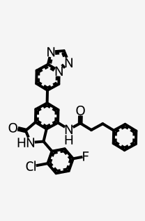 O=C(CCc1ccccc1)Nc1cc(-c2ccc3ncnn3c2)cc2c1C(c1cc(F)ccc1Cl)NC2=O